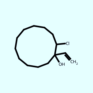 C=CC1(O)CCCCCCCCCCC1Cl